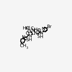 CN1CCc2nc(C(=O)N[C@@H](CNC(=S)C(=O)Nc3ccc(Br)cn3)C(=O)N(C)C)sc2C1.Cl